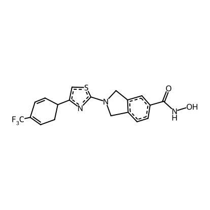 O=C(NO)c1ccc2c(c1)CN(c1nc(C3C=CC(C(F)(F)F)=CC3)cs1)C2